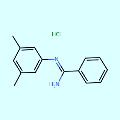 Cc1cc(C)cc(N=C(N)c2ccccc2)c1.Cl